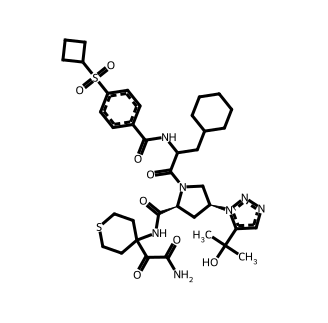 CC(C)(O)c1cnnn1[C@H]1C[C@@H](C(=O)NC2(C(=O)C(N)=O)CCSCC2)N(C(=O)C(CC2CCCCC2)NC(=O)c2ccc(S(=O)(=O)C3CCC3)cc2)C1